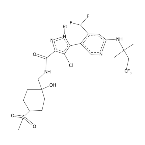 CCn1nc(C(=O)NCC2(O)CCC(S(C)(=O)=O)CC2)c(Cl)c1-c1cnc(NC(C)(C)CC(F)(F)F)cc1C(F)F